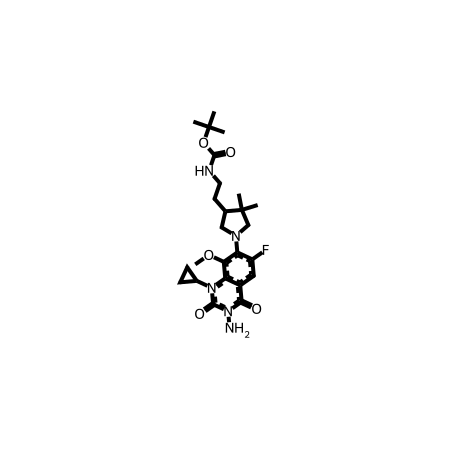 COc1c(N2CC(CCNC(=O)OC(C)(C)C)C(C)(C)C2)c(F)cc2c(=O)n(N)c(=O)n(C3CC3)c12